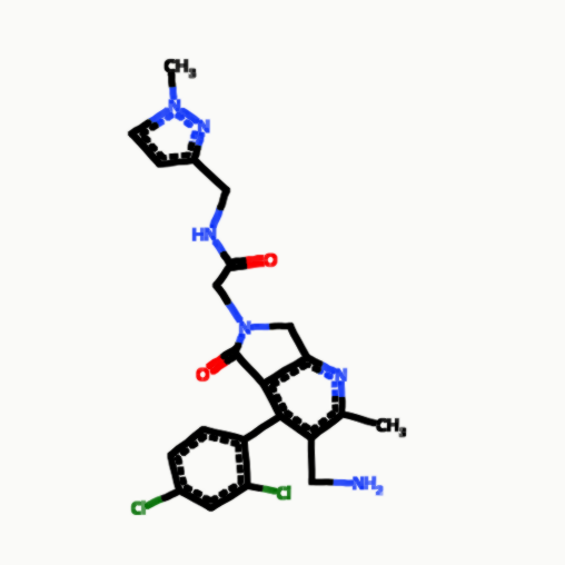 Cc1nc2c(c(-c3ccc(Cl)cc3Cl)c1CN)C(=O)N(CC(=O)NCc1ccn(C)n1)C2